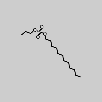 CCCCCCCCCCCCOS(=O)(=O)OCCC